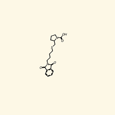 O=C1c2ccccc2C(=O)N1CCCCSCC1CCCN1C(=O)O